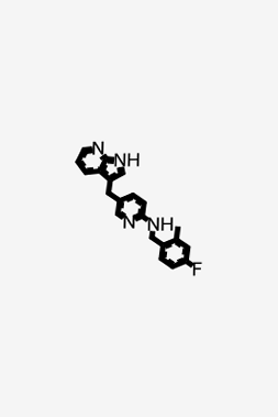 Cc1cc(F)ccc1CNc1ccc(Cc2c[nH]c3ncccc23)cn1